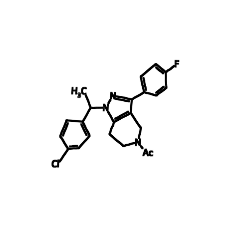 CC(=O)N1CCc2c(c(-c3ccc(F)cc3)nn2C(C)c2ccc(Cl)cc2)C1